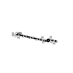 CC(C)(C)NC(=O)CCOCCOCCOCCOCCOCCOCNC(=O)OCc1ccc(NC(=O)CNC=O)cc1